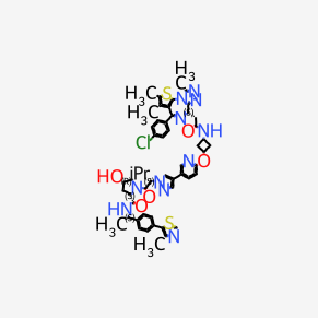 Cc1ncsc1-c1ccc([C@H](C)NC(=O)[C@@H]2C[C@@H](O)CN2C(=O)[C@H](C(C)C)n2cc(-c3ccc(OC4CC(NC(=O)C[C@@H]5N=C(c6ccc(Cl)cc6)c6c(sc(C)c6C)-n6c(C)nnc65)C4)nc3)cn2)cc1